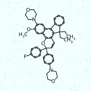 CCC1(CC)c2ccccc2-c2c1c1c(c3cc(OC)c(N4CCOCC4)cc23)OC(c2ccc(F)cc2)(c2ccc(N3CCOCC3)cc2)C=C1